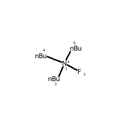 CCCC[N+](F)(CCCC)CCCC